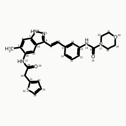 Cc1cc2[nH]nc(/C=C/c3cccc(NC(=O)N4CCOCC4)c3)c2cc1NC(=O)Cc1cccs1